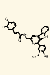 COc1cc(-c2nc(CNC(=O)/C=C/c3ccc(Cl)c(Cl)c3)cc3c2[nH]c2ccccc23)ccc1O